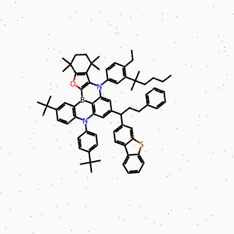 CCCCC(C)(C)c1cc(N2c3cc(C(CCc4ccccc4)c4ccc5c(c4)sc4ccccc45)cc4c3B(c3cc(C(C)(C)C)ccc3N4c3ccc(C(C)(C)C)cc3)c3oc4c(c32)C(C)(C)CCC4(C)C)ccc1CC